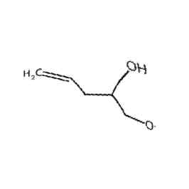 C=CCC(O)C[O]